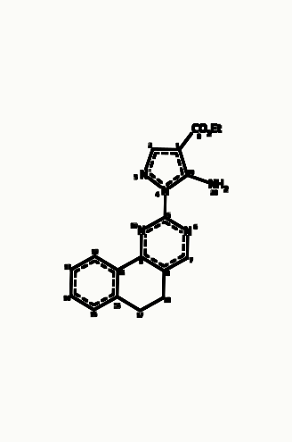 CCOC(=O)c1cnn(-c2ncc3c(n2)-c2ccccc2CC3)c1N